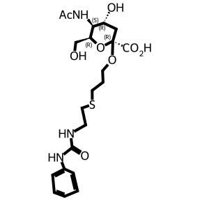 CC(=O)N[C@H]1[C@H](O)C[C@](OCCCSCCNC(=O)Nc2ccccc2)(C(=O)O)O[C@H]1CO